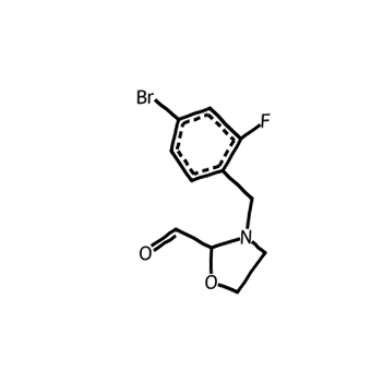 O=CC1OCCN1Cc1ccc(Br)cc1F